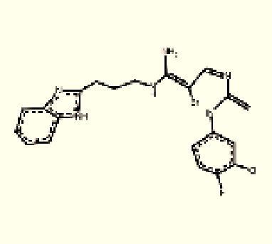 C=C(/N=C\C(Br)=C(/N)NCCCc1nc2ccccc2[nH]1)Nc1ccc(F)c(Cl)c1